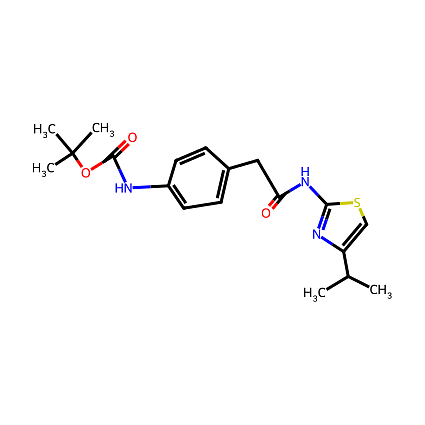 CC(C)c1csc(NC(=O)Cc2ccc(NC(=O)OC(C)(C)C)cc2)n1